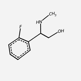 CNC(CO)c1ccccc1F